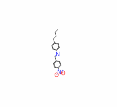 CCCCc1ccc(N=Cc2ccc([N+](=O)[O-])cc2)cc1